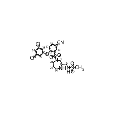 CS(=O)(=O)NCC1CN(S(=O)(=O)c2cc(C#N)ccc2Oc2cc(Cl)cc(Cl)c2)CCCN1